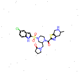 CC1Cc2nc(C(=O)N3CCN(S(=O)(=O)c4cc5cc(Cl)ccc5[nH]4)CC3CN3CCCC3=O)sc2CN1